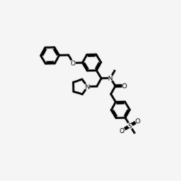 CN(C(=O)Cc1ccc(S(C)(=O)=O)cc1)C(CN1CCCC1)c1cccc(OCc2ccccc2)c1